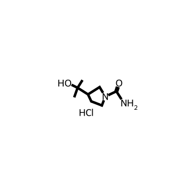 CC(C)(O)C1CCN(C(N)=O)C1.Cl